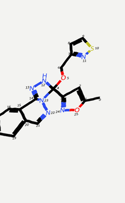 Cc1cc(C2(OCc3ccsn3)NN=C3c4ccccc4C=NN32)no1